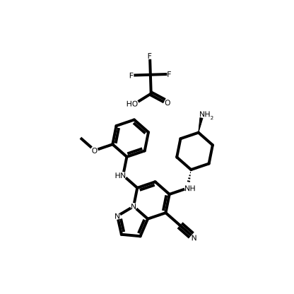 COc1ccccc1Nc1cc(N[C@H]2CC[C@H](N)CC2)c(C#N)c2ccnn12.O=C(O)C(F)(F)F